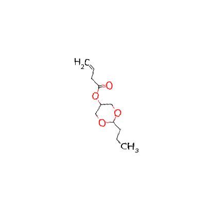 C=CCC(=O)OC1COC(CCC)OC1